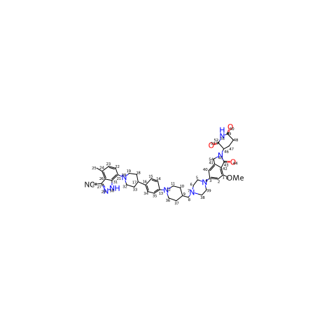 COc1cc(N2CCN(CC3CCN(c4ccc(C5CCN(c6ccc(C)c7c(C#N)n[nH]c67)CC5)cc4)CC3)CC2)cc2c1C(=O)N(C1CCC(=O)NC1=O)C2